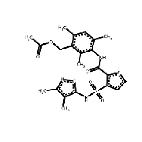 CC(=O)OCc1c(C)cc(C)c(NC(=O)c2sccc2S(=O)(=O)Nc2onc(C)c2C)c1C